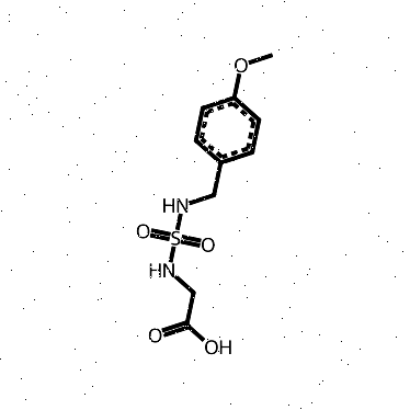 COc1ccc(CNS(=O)(=O)NCC(=O)O)cc1